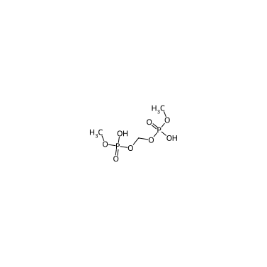 COP(=O)(O)OCOP(=O)(O)OC